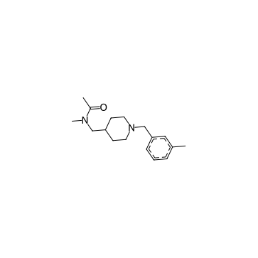 CC(=O)N(C)CC1CCN(Cc2cccc(C)c2)CC1